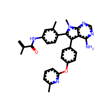 C=C(C)C(=O)Nc1ccc(-c2c(-c3ccc(Oc4cccc(C)n4)cc3)c3c(N)ncnc3n2C)c(C)c1